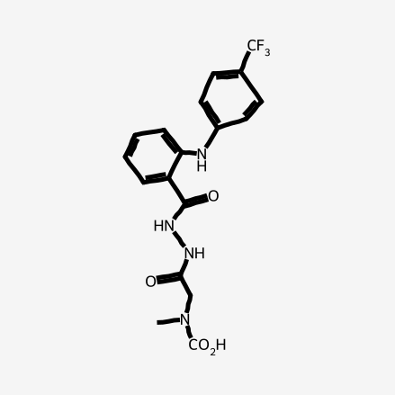 CN(CC(=O)NNC(=O)c1ccccc1Nc1ccc(C(F)(F)F)cc1)C(=O)O